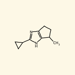 CC1CCc2nc(C3CC3)[nH]c21